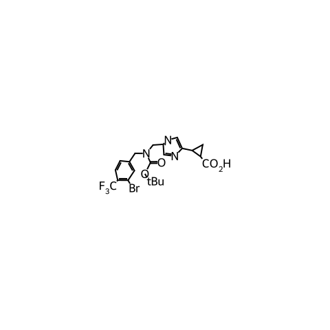 CC(C)(C)OC(=O)N(Cc1ccc(C(F)(F)F)c(Br)c1)Cc1cnc(C2CC2C(=O)O)cn1